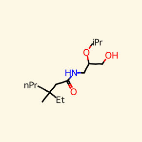 CCCC(C)(CC)CC(=O)NCC(CO)OC(C)C